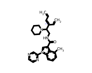 C=C/C=C(\C=C)C(CNC(=O)c1cn(-c2cnccn2)c2cccc(C)c12)N1CCCCC1